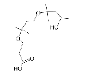 CC(O)CC(C)(C)OCCC(C)(C)OCCC(=O)O